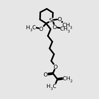 C=C(C)C(=O)OCCCCCCC1(OC)CCCC[Si]1(OC)OC